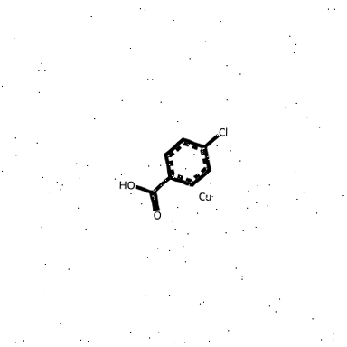 O=C(O)c1ccc(Cl)cc1.[Cu]